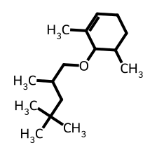 CC1=CCCC(C)C1OCC(C)CC(C)(C)C